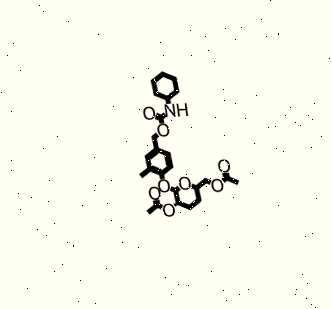 CC(=O)OCC1CC[C@@H](OC(C)=O)C(Oc2ccc(COC(=O)NC3CCCCC3)cc2C)O1